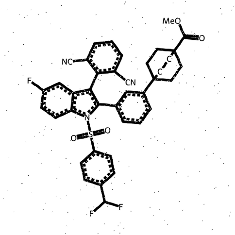 COC(=O)C12CCC(c3cccc(-c4c(-c5c(C#N)cccc5C#N)c5cc(F)ccc5n4S(=O)(=O)c4ccc(C(F)F)cc4)c3)(CC1)CC2